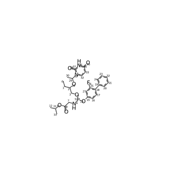 CCC(COP(NCC(=O)OC(C)C)Oc1ccc(-c2ccccc2)c(F)c1)OC(C)n1ccc(=O)[nH]c1=O